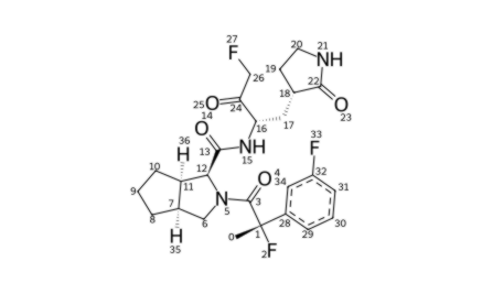 C[C@@](F)(C(=O)N1C[C@H]2CCC[C@H]2[C@H]1C(=O)N[C@@H](C[C@@H]1CCNC1=O)C(=O)CF)c1cccc(F)c1